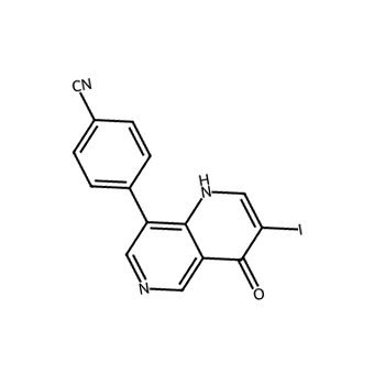 N#Cc1ccc(-c2cncc3c(=O)c(I)c[nH]c23)cc1